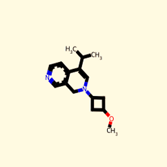 COC1CC(N2C=C(C(C)C)c3ccncc3C2)C1